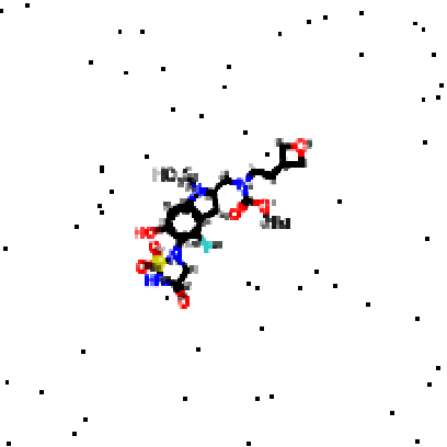 CC(C)(C)OC(=O)N(CCC1COC1)C[C@H]1Cc2c(cc(O)c(N3CC(=O)NS3(=O)=O)c2F)N1C(=O)O